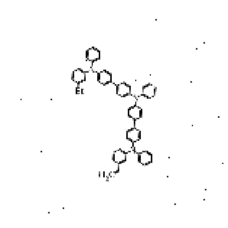 C=Cc1cccc(N(c2ccccc2)c2ccc(-c3ccc(N(c4ccccc4)c4ccc(-c5ccc(N(c6ccccc6)c6cccc(CC)c6)cc5)cc4)cc3)cc2)c1